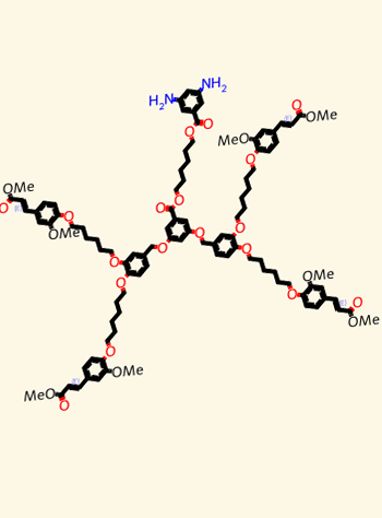 COC(=O)/C=C/c1ccc(OCCCCCCOc2ccc(COc3cc(OCc4ccc(OCCCCCCOc5ccc(/C=C/C(=O)OC)cc5OC)c(OCCCCCCOc5ccc(/C=C/C(=O)OC)cc5OC)c4)cc(C(=O)OCCCCCCOC(=O)c4cc(N)cc(N)c4)c3)cc2OCCCCCCOc2ccc(/C=C/C(=O)OC)cc2OC)c(OC)c1